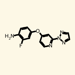 Nc1ccc(Oc2ccnc(-n3nccn3)c2)cc1F